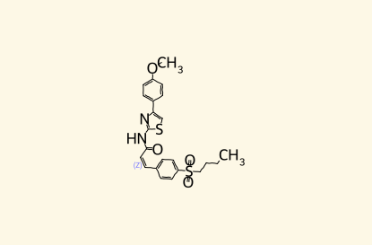 CCCCS(=O)(=O)c1ccc(/C=C\C(=O)Nc2nc(-c3ccc(OC)cc3)cs2)cc1